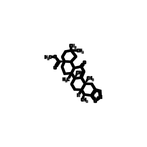 COC(=O)[C@]12CCC(C)(C)CC1C1C(=O)C=C3[C@@]4(C)Cc5cnoc5[C@@H](C)[C@@H]4CC[C@@]3(C)[C@]1(C)CC2